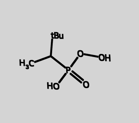 CC(C(C)(C)C)P(=O)(O)OO